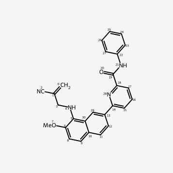 C=C(C#N)CNc1c(OC)ccc2ccc(-c3cccc(C(=O)Nc4ccccc4)n3)cc12